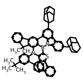 CC(C)(C)c1ccc(N2c3c4c(cc5c3C(C)(C)c3ccccc3-5)-c3cc(C56CC7CC(CC(C7)C5)C6)cc5c6cc(C78CC9CC(CC(C9)C7)C8)ccc6n(c35)B4c3sc4c(ccc5ccccc54)c32)c(-c2ccccc2)c1